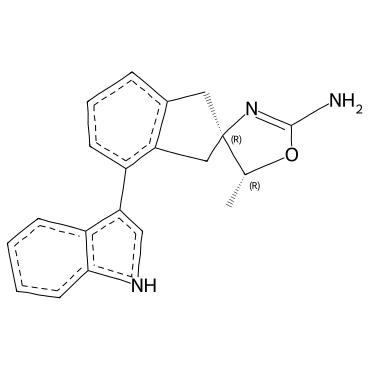 C[C@H]1OC(N)=N[C@@]12Cc1cccc(-c3c[nH]c4ccccc34)c1C2